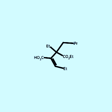 CCC=C(C(=O)O)C(CC)(CC(C)C)C(=O)OCC